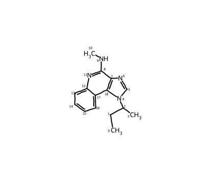 CCC(C)n1cnc2c(NC)nc3ccccc3c21